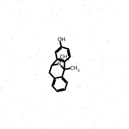 CN1C2Cc3ccccc3C1(C)c1ccc(O)cc12